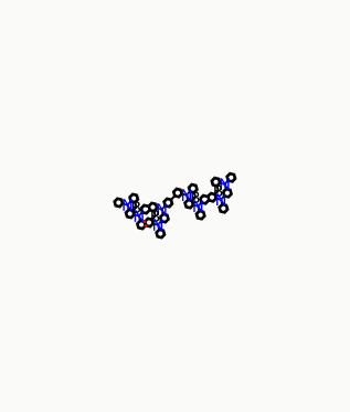 c1ccc(N2c3ccccc3B3c4cc5cc6c(cc5cc4N(c4ccccc4)c4cccc2c43)N(c2ccccc2)c2cccc3c2B6c2ccccc2N3c2cccc(-c3ccc(N4c5cccc6c5B(c5ccccc5N6c5ccccc5)c5c4ccc4cc6c(cc54)N(c4ccccc4)c4cccc5c4B6c4ccccc4N5c4ccccc4)cc3)c2)cc1